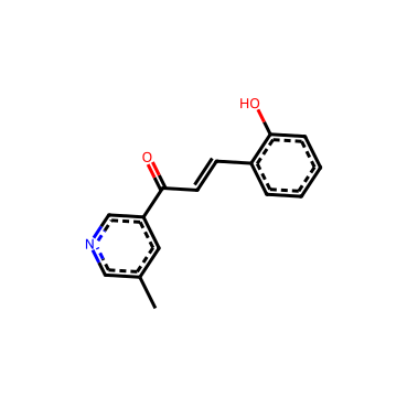 Cc1cncc(C(=O)C=Cc2ccccc2O)c1